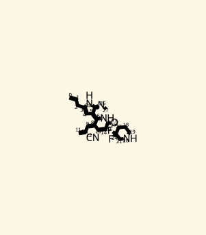 C=CCC1=CC(=C(/N)C(=CC(=C)C#N)/C=C\COC2CCNCC2(F)F)/C(=N\C)N1